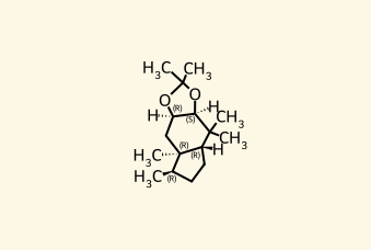 C[C@@H]1CC[C@H]2C(C)(C)[C@@H]3OC(C)(C)O[C@@H]3C[C@]12C